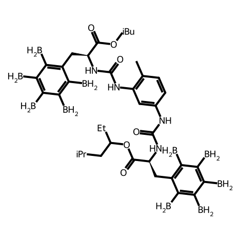 Bc1c(B)c(B)c(C[C@H](NC(=O)Nc2cc(NC(=O)N[C@@H](Cc3c(B)c(B)c(B)c(B)c3B)C(=O)OC(CC)CC(C)C)ccc2C)C(=O)OC(C)CC)c(B)c1B